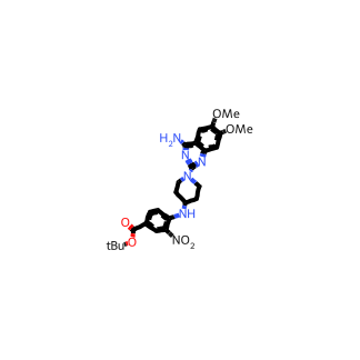 COc1cc2nc(N3CCC(Nc4ccc(C(=O)OC(C)(C)C)cc4[N+](=O)[O-])CC3)nc(N)c2cc1OC